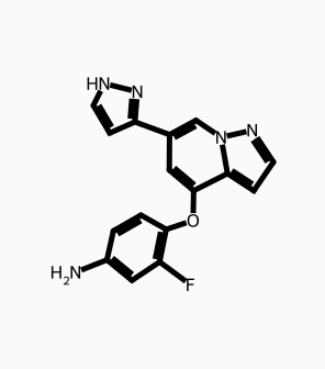 Nc1ccc(Oc2cc(-c3cc[nH]n3)cn3nccc23)c(F)c1